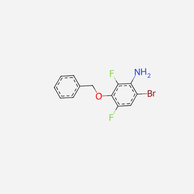 Nc1c(Br)cc(F)c(OCc2ccccc2)c1F